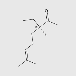 CC[C@](C)(CCC=C(C)C)C(C)=O